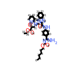 CCCCCCOC(=O)N=C(N)c1ccc(NCC2=Nc3ccccc3[N+]2(C)C(=O)N(CCC(=O)OCC)c2cccc[n+]2[O-])cc1